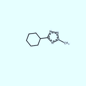 Cn1nnc(C2CCCCC2)n1